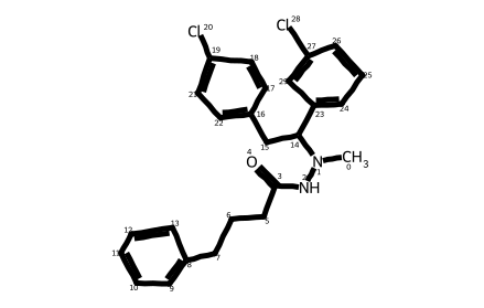 CN(NC(=O)CCCc1ccccc1)C(Cc1ccc(Cl)cc1)c1cccc(Cl)c1